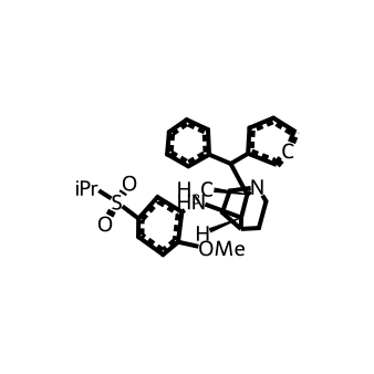 COc1ccc(S(=O)(=O)C(C)C)cc1N[C@H]1C2CCN(CC2)[C@@]1(C)C(c1ccccc1)c1ccccc1